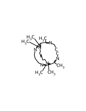 CC1=NCCCN=C(C)C2=C(C)N(C)CCCCCCN(C)C(C)=C1C=NCCCN=C2